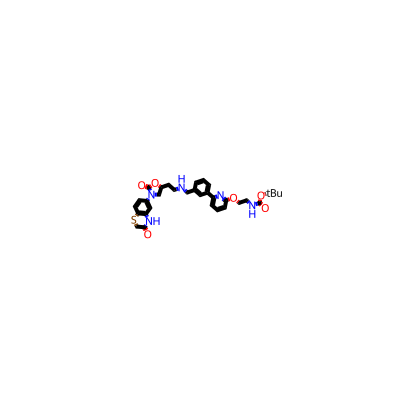 CC(C)(C)OC(=O)NCCOc1cccc(-c2cccc(CNCCC3CN(c4ccc5c(c4)NC(=O)CS5)C(=O)O3)c2)n1